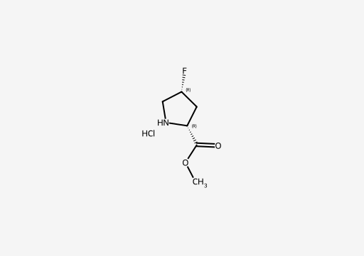 COC(=O)[C@H]1C[C@@H](F)CN1.Cl